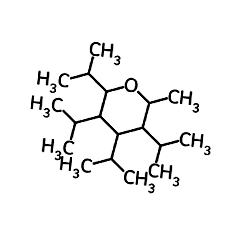 CC(C)C1OC(C)C(C(C)C)C(C(C)C)C1C(C)C